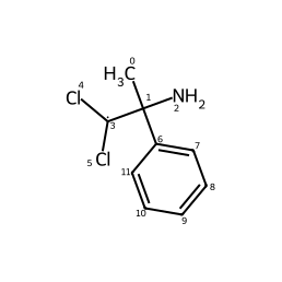 CC(N)([C](Cl)Cl)c1ccccc1